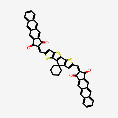 O=C1C(=Cc2cc3c(s2)-c2sc4cc(C=C5C(=O)c6cc7cc8ccccc8cc7cc6C5=O)sc4c2C32CCCCC2)C(=O)c2cc3cc4ccccc4cc3cc21